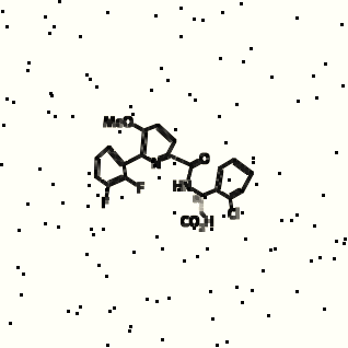 COc1ccc(C(=O)N[C@@H](CC(=O)O)c2ccccc2Cl)nc1-c1cccc(F)c1F